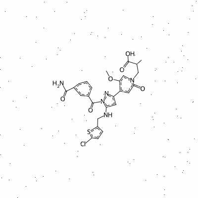 COc1cn(CC(C)C(=O)O)c(=O)cc1-c1cc(NCc2ccc(Cl)s2)n(C(=O)c2cccc(C(N)=O)c2)n1